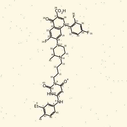 CCc1cc(Nc2cc(=O)n(CCCCN3CCN(c4cc5c(cc4F)c(=O)c(C(=O)O)cn5-c4ccc(F)cc4F)CC3C)c(=O)[nH]2)ccc1C